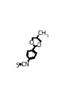 CC1COC(c2ccc(N=C=S)cc2)OC1